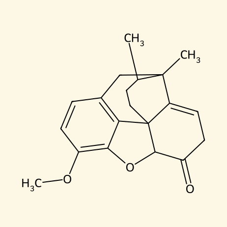 COc1ccc2c3c1OC1C(=O)CC=C4C(C)(C2)C(C)CCC431